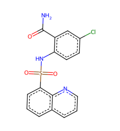 NC(=O)c1cc(Cl)ccc1NS(=O)(=O)c1cccc2cccnc12